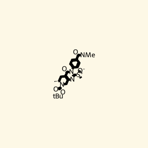 CNC(=O)c1ccc(-n2c([S+](C)[O-])nc3c(c2=O)C[C@@H](C)N(C(=O)OC(C)(C)C)C3)cc1